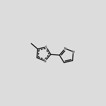 Cc1cnc(C2=N[N]C=C2)s1